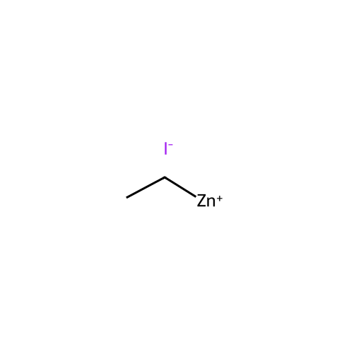 C[CH2][Zn+].[I-]